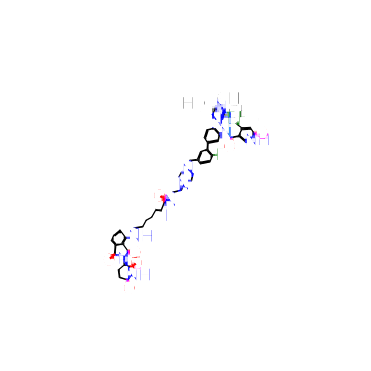 C[C@@H]1CN(c2ccc(-c3cc(CN4CCN(CCNC(=O)CCCCCCNc5cccc6c5C(=O)N(C5CCC(=O)NC5=O)C6=O)CC4)ccc3F)cc2NC(=O)c2c[nH]c(=O)cc2C(F)(F)F)C[C@H](C)N1C